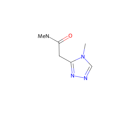 CNC(=O)Cc1nncn1C